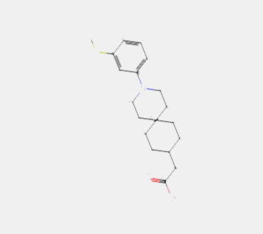 CSc1cccc(N2CCC3(CCC(CC(=O)O)CC3)CC2)c1